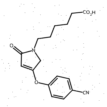 N#Cc1ccc(OC2=CC(=O)N(CCCCCC(=O)O)C2)cc1